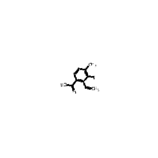 C=Cc1c(C(=O)O)ccc(C)c1F